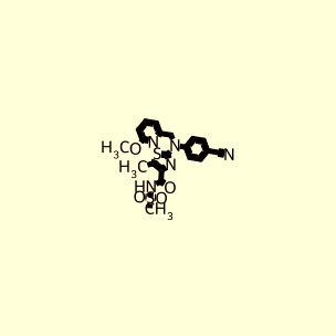 COc1cccc(CN(c2ccc(C#N)cc2)c2nc(C(=O)NS(C)(=O)=O)c(C)s2)n1